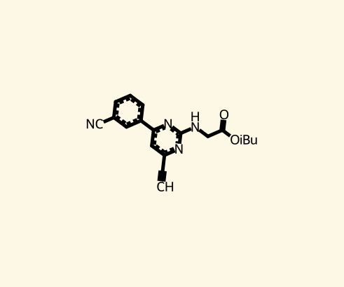 C#Cc1cc(-c2cccc(C#N)c2)nc(NCC(=O)OCC(C)C)n1